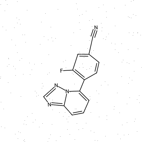 N#Cc1ccc(-c2cccc3ncnn23)c(F)c1